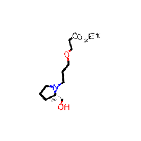 CCOC(=O)CCOCCCN1CCC[C@H]1CO